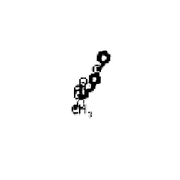 CCOC(=O)CC(Cc1ccc(OCc2ccccc2)cc1)[N+](=O)[O-]